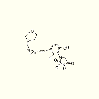 O=C1CN(c2c(O)ccc(C#C[C@@H]3C[C@H]3CN3CCOCC3)c2F)S(=O)(=O)N1